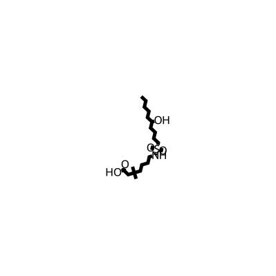 CCCCCC(O)CCCCS(=O)(=O)NCCCCC(C)(C)CC(=O)O